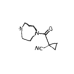 N#CC1(C(=O)N2CC[N]CC2)CC1